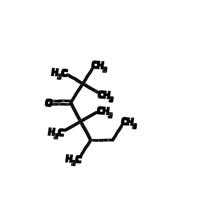 CCC(C)C(C)(C)C(=O)C(C)(C)C